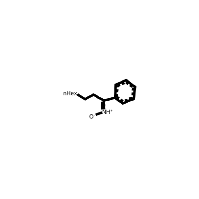 CCCCCCCCC(=[NH+][O-])c1ccccc1